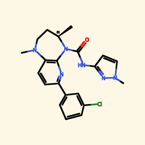 C[C@@H]1CCN(C)c2ccc(-c3cccc(Cl)c3)nc2N1C(=O)Nc1ccn(C)n1